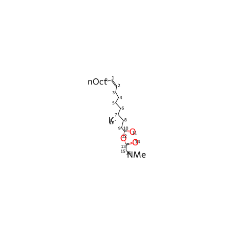 CCCCCCCC/C=C\CCCCCCCC(=O)OC(=O)CNC.[K]